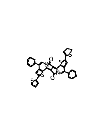 O=C1C2=C3c4sc(-c5cccs5)cc4C(c4ccccc4)=CN3C(=O)C2=C2c3sc(C4=CCCS4)cc3C(c3ccccc3)=CN12